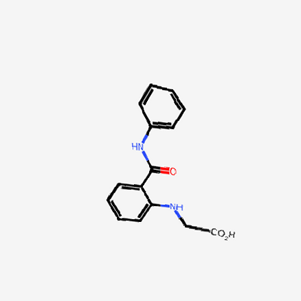 O=C(O)CNc1ccccc1C(=O)Nc1ccccc1